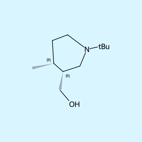 C[C@@H]1CCN(C(C)(C)C)C[C@@H]1CO